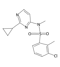 Cc1c(Cl)cccc1S(=O)(=O)N(C)c1ccnc(C2CC2)n1